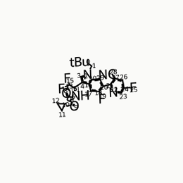 CC(C)(C)Cn1cc([C@H](NS(=O)(=O)C2CC2)C(F)F)c2cc(F)c(-c3ncc(F)cc3C#N)cc21